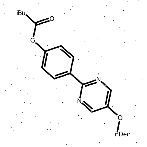 CCCCCCCCCCOc1cnc(-c2ccc(OC(=O)C(C)CC)cc2)nc1